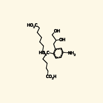 Nc1ccc(C(=O)O)c(CC(O)CO)c1.O=C(O)CCCCCCCCCCCC(=O)O